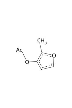 CC(=O)Oc1ccoc1C